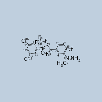 CN(N)c1cc(C2=NOC(c3cc(Cl)cc(Cl)c3)(C(F)(F)F)C2)ccc1F